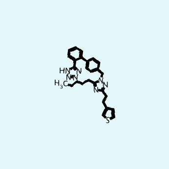 CCCCCc1nc(CCc2ccsc2)nn1Cc1ccc(-c2ccccc2-c2nnn[nH]2)cc1